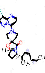 C=C(/C=C\C=C/C)[C@@H]1CC[C@H]2OC3(CCN(c4ccnc5c(F)cnn45)CC3)C(=O)N21